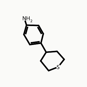 Nc1ccc(C2CCSCC2)cc1